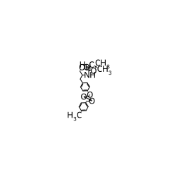 Cc1ccc(S(=O)(=O)Oc2ccc(CC(CO)NC(=O)OC(C)(C)C)cc2)cc1